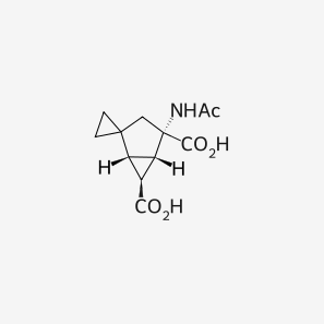 CC(=O)N[C@@]1(C(=O)O)CC2(CC2)[C@H]2[C@H](C(=O)O)[C@H]21